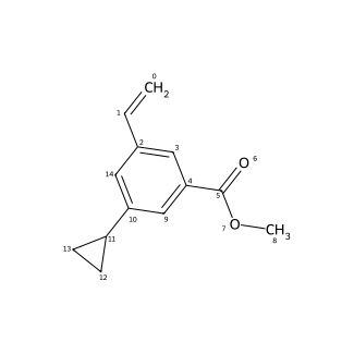 C=Cc1cc(C(=O)OC)cc(C2CC2)c1